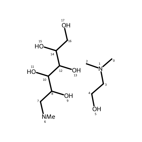 CN(C)CCO.CNCC(O)C(O)C(O)C(O)CO